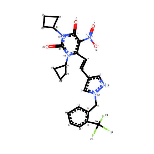 O=c1c([N+](=O)[O-])c(C=Cc2cnn(Cc3ccccc3C(F)(F)F)c2)n(C2CCC2)c(=O)n1C1CCC1